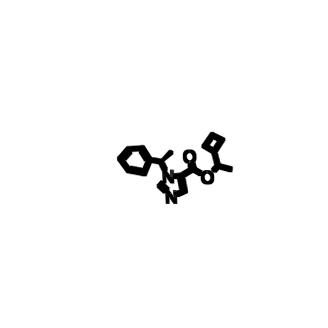 CC(OC(=O)c1cncn1[C@H](C)c1ccccc1)C1CCC1